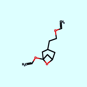 C=COCCC1CC2CC(OC=C)(C1)O2